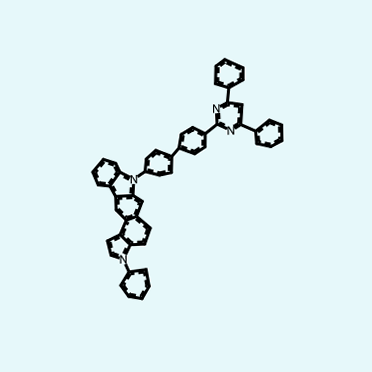 c1ccc(-c2cc(-c3ccccc3)nc(-c3ccc(-c4ccc(-n5c6ccccc6c6cc7c(ccc8c7ccn8-c7ccccc7)cc65)cc4)cc3)n2)cc1